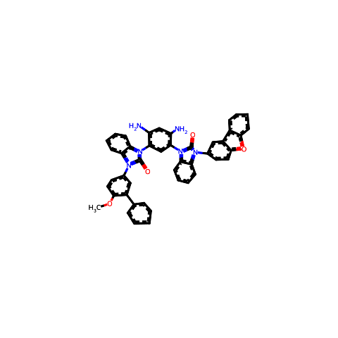 COc1ccc(-n2c(=O)n(-c3cc(-n4c(=O)n(-c5ccc6oc7ccccc7c6c5)c5ccccc54)c(N)cc3N)c3ccccc32)cc1-c1ccccc1